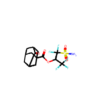 NS(=O)(=O)C(F)(F)C(OC(=O)C12CC3CC(C1)C(=O)C(C3)C2)C(F)(F)F